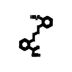 COC(=O)c1ccccc1SSSSc1ccccc1C(=O)O